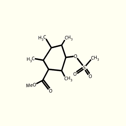 COC(=O)C1C(C)C(C)C(C)C(OS(C)(=O)=O)C1C